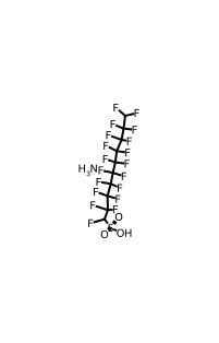 N.O=S(=O)(O)C(F)C(F)(F)C(F)(F)C(F)(F)C(F)(F)C(F)(F)C(F)(F)C(F)(F)C(F)(F)C(F)F